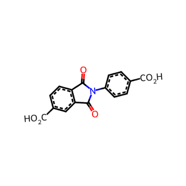 O=C(O)c1ccc(N2C(=O)c3ccc(C(=O)O)cc3C2=O)cc1